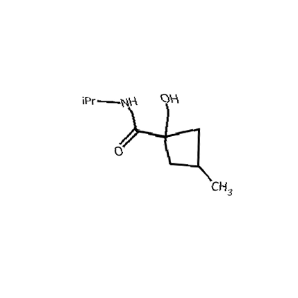 CC1CC(O)(C(=O)NC(C)C)C1